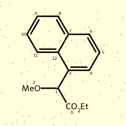 CCOC(=O)C(OC)c1cccc2ccccc12